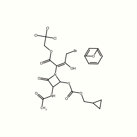 CC(=O)NC1C(=O)N(C(C(=O)OCC(Cl)(Cl)Cl)=C(O)CBr)C1SC(=O)OCC1CC1.c1cc2cc(c1)O2